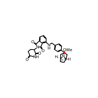 CO[C@@H]1C[C@H]2CC[C@@H](C1)N2Cc1ccc(CNc2cccc3c2C(=O)N(C2CCC(=O)NC2=O)C3=O)cc1